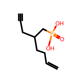 C#CCC(CCC=C)CP(=O)(O)O